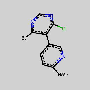 CCc1ncnc(Cl)c1-c1ccc(NC)nc1